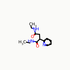 CCNC(=O)CC(C(=O)NCC)c1ccccn1